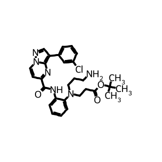 CC(C)(C)OC(=O)CCN(CCCN)c1ccccc1NC(=O)c1ccn2ncc(-c3cccc(Cl)c3)c2n1